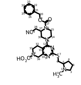 CN1CCCC1CSc1nc2c(c(N3CCN(C(=O)OCc4ccccc4)C(CC#N)C3)n1)CCN(C(=O)O)C2